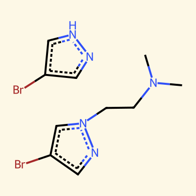 Brc1cn[nH]c1.CN(C)CCn1cc(Br)cn1